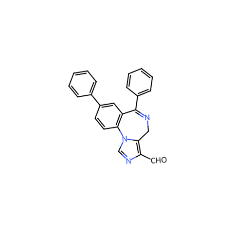 O=Cc1ncn2c1CN=C(c1ccccc1)c1cc(-c3ccccc3)ccc1-2